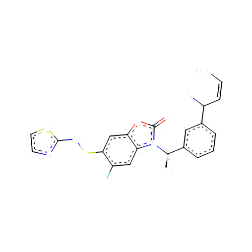 CN/C=C\C(N)c1cccc([C@@H](C)n2c(=O)oc3cc(SNc4nccs4)c(F)cc32)c1